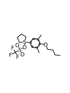 CCCCOc1c(C)cc(S2(OS(=O)(=O)C(F)(F)F)CCCC2)cc1C